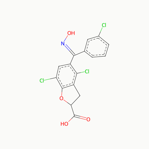 O=C(O)C1Cc2c(Cl)c(C(=NO)c3cccc(Cl)c3)cc(Cl)c2O1